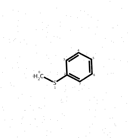 [CH2]Sc1[c]cccc1